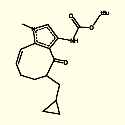 Cn1cc(NC(=O)OC(C)(C)C)c2c1/C=C\CCC(CC1CC1)C2=O